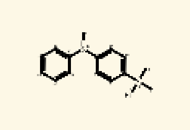 CC[Si](C)(C)c1ccc([SiH](C)c2ccccc2)cc1